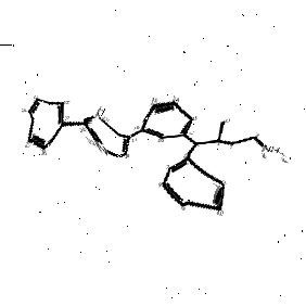 CC(CCN)C(c1ccccc1)c1cccc(-c2cnc(-c3ccccc3)[nH]2)c1